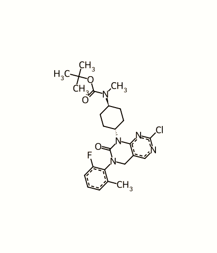 Cc1cccc(F)c1N1Cc2cnc(Cl)nc2N([C@H]2CC[C@H](N(C)C(=O)OC(C)(C)C)CC2)C1=O